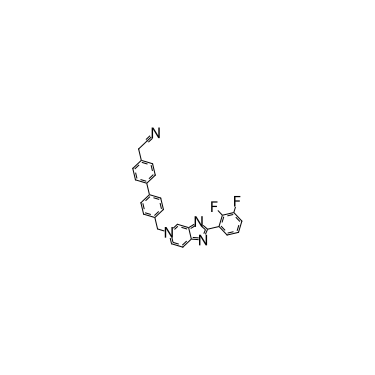 N#CCc1ccc(-c2ccc(Cn3ccc4nc(-c5cccc(F)c5F)nc-4c3)cc2)cc1